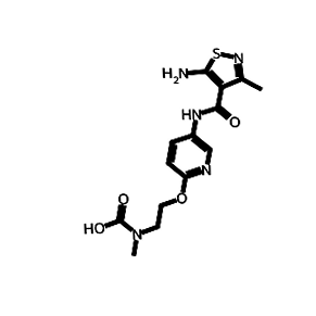 Cc1nsc(N)c1C(=O)Nc1ccc(OCCN(C)C(=O)O)nc1